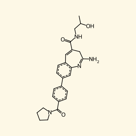 CC(O)CNC(=O)C1=Cc2ccc(-c3ccc(C(=O)N4CCCC4)cc3)cc2N=C(N)C1